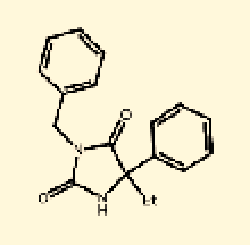 CCC1(c2ccccc2)NC(=O)N(Cc2ccccc2)C1=O